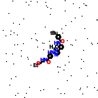 CCOCCCNC(=O)c1ccc(Nc2nccc(-c3cccc(NC(=O)c4ccc(C(C)(C)C)cc4)c3C)n2)cc1